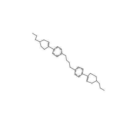 CCCC1CC=C(c2ccc(CCCCc3ccc(C4=CCC(CCC)CC4)cc3)cc2)CC1